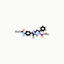 COC(=O)Nc1ccc(-c2nc(CC(NC(=O)OC(C)(C)C)c3ccccc3)n(C)c2Cl)cc1